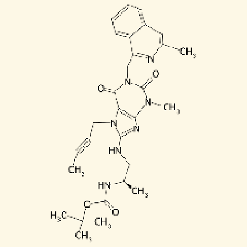 CC#CCn1c(NC[C@@H](C)NC(=O)OC(C)(C)C)nc2c1c(=O)n(Cc1nc(C)cc3ccccc13)c(=O)n2C